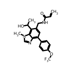 C=CC(=O)NCc1cc(-c2ccc(OC(F)(F)F)cc2)c2ncn(C)c2c1C(C)O